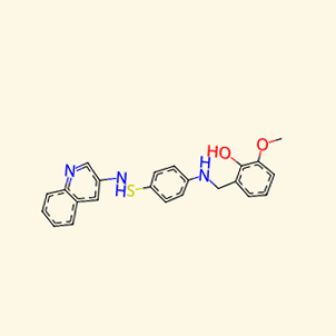 COc1cccc(CNc2ccc(SNc3cnc4ccccc4c3)cc2)c1O